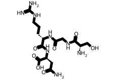 N=C(N)NCCC[C@H](NC(=O)CNC(=O)[C@@H](N)CO)C(=O)N[C@@H](CC(N)=O)C(=O)O